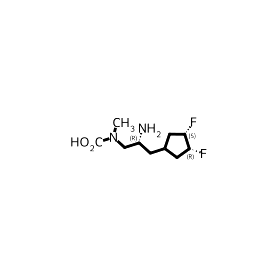 CN(C[C@H](N)CC1C[C@@H](F)[C@@H](F)C1)C(=O)O